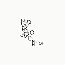 O=[N+]([O-])c1cnc(NCc2ccccc2OC(F)(F)F)nc1N(CC1CCC(NCCCO)CC1)c1ccccc1